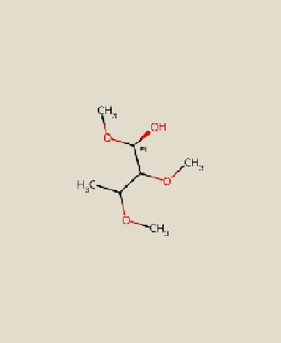 COC(C)C(OC)[C@H](O)OC